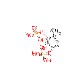 Cc1ccccc1OP(=O)(O)O.O=P(O)(O)O